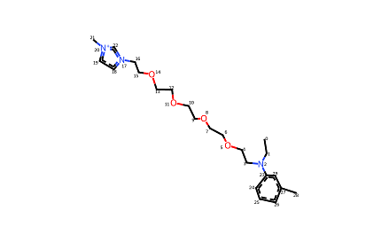 CCN(CCOCCOCCOCCOCCn1cc[n+](C)c1)c1cccc(C)c1